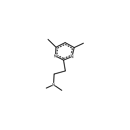 Cc1cc(C)nc(CCN(C)C)n1